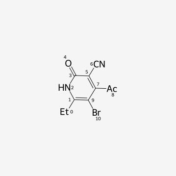 CCc1[nH]c(=O)c(C#N)c(C(C)=O)c1Br